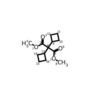 COC(=O)C(C(=O)OC)(C1CCC1)C1CCC1